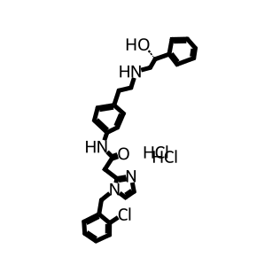 Cl.Cl.O=C(Cc1nccn1Cc1ccccc1Cl)Nc1ccc(CCNC[C@H](O)c2ccccc2)cc1